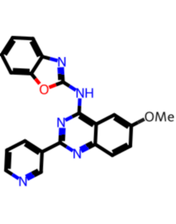 COc1ccc2nc(-c3cccnc3)nc(Nc3nc4ccccc4o3)c2c1